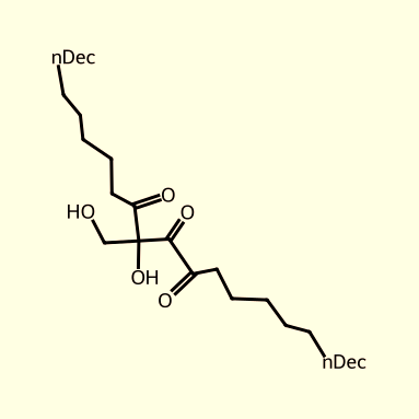 CCCCCCCCCCCCCCCC(=O)C(=O)C(O)(CO)C(=O)CCCCCCCCCCCCCCC